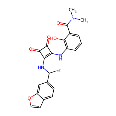 CCC(Nc1c(Nc2cccc(C(=O)N(C)C)c2O)c(=O)c1=O)c1ccc2ccoc2c1